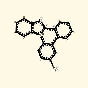 CC(C)(C)c1ccc2c(c1)c1ccccc1c1nc3ccccc3n21